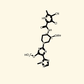 CO[C@H]1CN(c2nc(-c3ncnn3C)c(OC(=O)O)s2)CC[C@H]1NC(=O)c1[nH]c(C)c(C#N)c1Cl